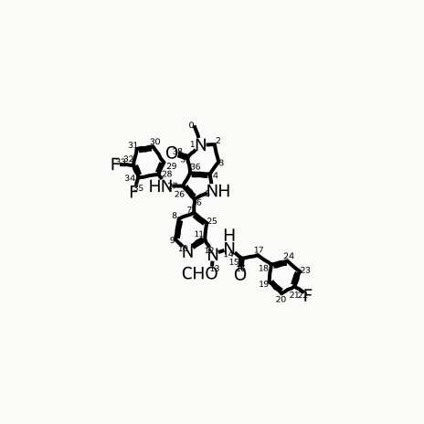 CN1CCc2[nH]c(-c3ccnc(N(C=O)NC(=O)Cc4ccc(F)cc4)c3)c(Nc3cccc(F)c3F)c2C1=O